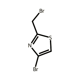 BrCc1nc(Br)cs1